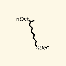 [CH2]CCCCCCCCCCCCCCCCC(C)CCCCCCC[CH2]